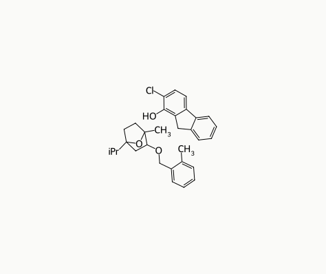 Cc1ccccc1COC1CC2(C(C)C)CCC1(C)O2.Oc1c(Cl)ccc2c1Cc1ccccc1-2